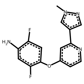 Cn1cc(-c2cc(Oc3cc(F)c(N)cc3F)ccn2)cn1